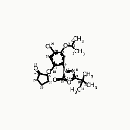 CC(C)Oc1cc(-n2nc(C(C)(C)C)oc2=O)c(Cl)cc1Cl.O=C1CCCC1